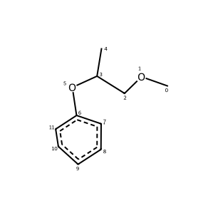 COCC(C)Oc1[c]cccc1